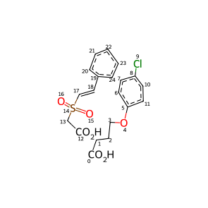 O=C(O)CCCOc1ccc(Cl)cc1.O=C(O)CS(=O)(=O)C=Cc1ccccc1